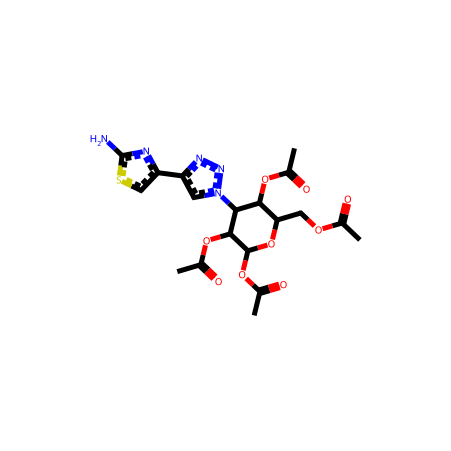 CC(=O)OCC1OC(OC(C)=O)C(OC(C)=O)C(n2cc(-c3csc(N)n3)nn2)C1OC(C)=O